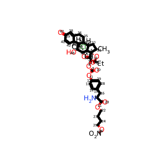 CCC(=O)O[C@@]1(C(=O)COC(=O)Oc2ccc(CC(N)C(=O)OCCCCO[N+](=O)[O-])cc2)[C@@H](C)C[C@H]2[C@@H]3CCC4=CC(=O)C=C[C@]4(C)[C@@]3(Cl)[C@@H](O)C[C@@]21C